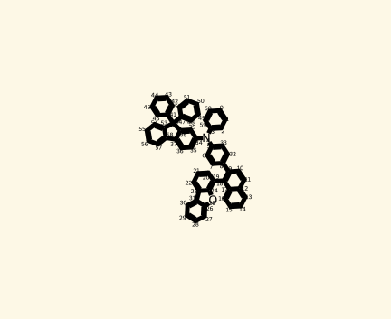 c1ccc(N(c2ccc(-c3ccc4ccccc4c3-c3cccc4c3oc3ccccc34)cc2)c2ccc3c(c2)C(c2ccccc2)(c2ccccc2)c2ccccc2-3)cc1